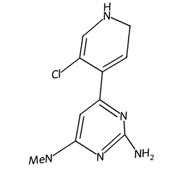 CNc1cc(C2=CCNC=C2Cl)nc(N)n1